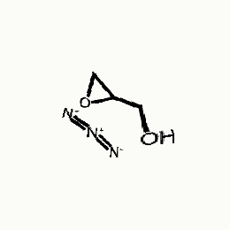 OCC1CO1.[N-]=[N+]=[N-]